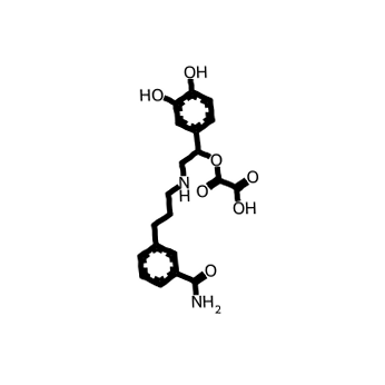 NC(=O)c1cccc(CCCNCC(OC(=O)C(=O)O)c2ccc(O)c(O)c2)c1